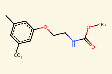 Cc1cc(OCCNC(=O)OC(C)(C)C)cc(C(=O)O)c1